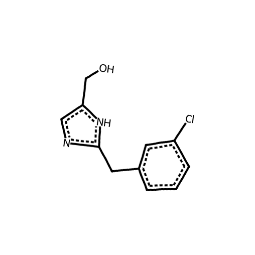 OCc1cnc(Cc2cccc(Cl)c2)[nH]1